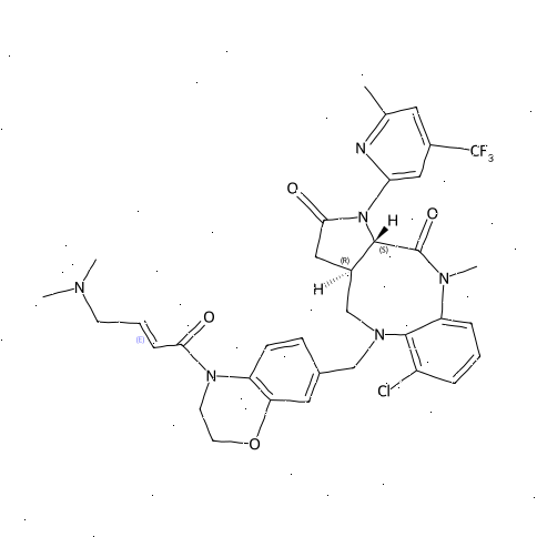 Cc1cc(C(F)(F)F)cc(N2C(=O)C[C@@H]3CN(Cc4ccc5c(c4)OCCN5C(=O)/C=C/CN(C)C)c4c(Cl)cccc4N(C)C(=O)[C@H]32)n1